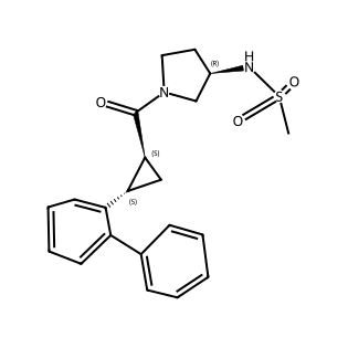 CS(=O)(=O)N[C@@H]1CCN(C(=O)[C@H]2C[C@@H]2c2ccccc2-c2ccccc2)C1